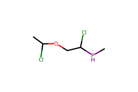 CPC(Cl)COC(C)Cl